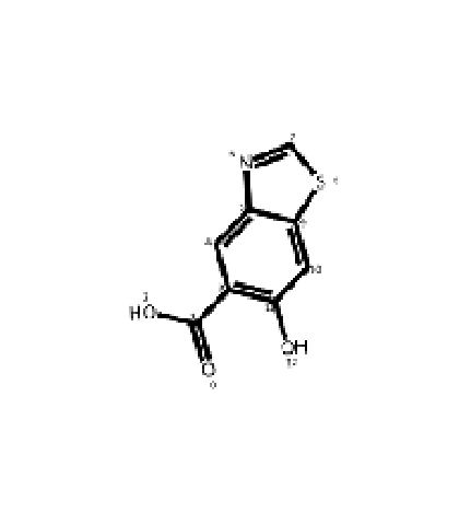 O=C(O)c1cc2ncsc2cc1O